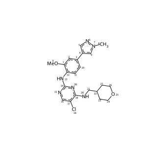 COc1cc(-c2cnn(C)c2)ccc1Nc1ncc(Cl)c(NCC2CCOCC2)n1